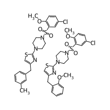 COc1ccc(Cl)cc1S(=O)(=O)N1CCN(c2nc(Cc3cccc(C)c3)cs2)CC1.COc1ccccc1Cc1csc(N2CCN(S(=O)(=O)c3cc(Cl)ccc3OC)CC2)n1